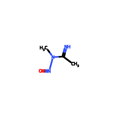 CC(=N)N(C)N=O